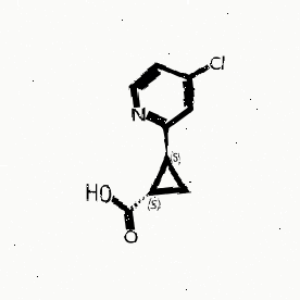 O=C(O)[C@H]1C[C@@H]1c1cc(Cl)ccn1